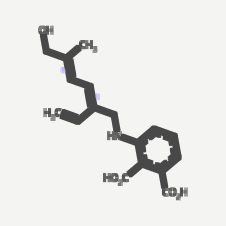 C=C/C(=C\C=C(/C)CO)CNc1cccc(C(=O)O)c1C(=O)O